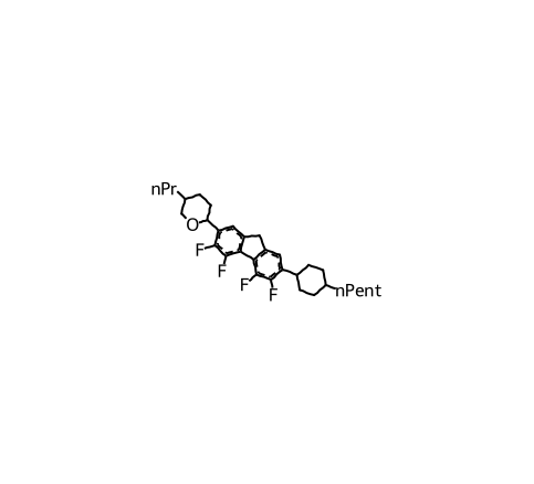 CCCCCC1CCC(c2cc3c(c(F)c2F)-c2c(cc(C4CCC(CCC)CO4)c(F)c2F)C3)CC1